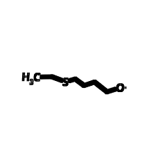 CCSCCCC[O]